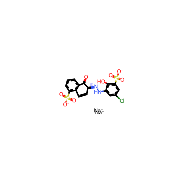 O=C1/C(=N/Nc2cc(Cl)cc(S(=O)(=O)[O-])c2O)C=Cc2c1cccc2S(=O)(=O)[O-].[Na+].[Na+]